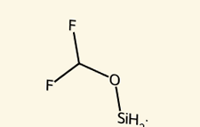 FC(F)O[SiH2]